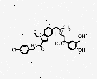 CCn1c(C(=O)NCc2ccc(Cl)cc2)cc2cc(C[C@@H](C)NC[C@H](O)c3ccc(O)c(CO)c3)ccc21